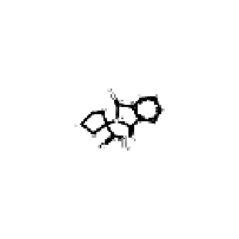 NC(=O)C1(N2C(=O)c3ccccc3C2=O)CCCC1